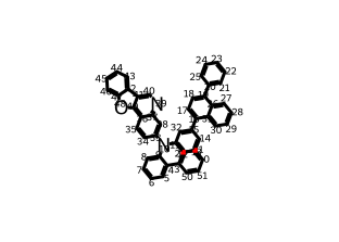 c1ccc(-c2ccccc2N(c2cccc(-c3ccc(-c4ccccc4)c4ccccc34)c2)c2ccc3c(c2)ncc2c4ccccc4oc32)cc1